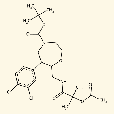 CC(=O)OC(C)(C)C(=O)NCC1OCCN(C(=O)OC(C)(C)C)CC1c1ccc(Cl)c(Cl)c1